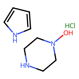 Cl.ON1CCNCC1.c1cc[nH]c1